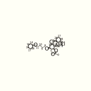 CC(=O)Oc1cc(OCCCCOc2ccccc2)ccc1Nc1c(Cl)cccc1Cl